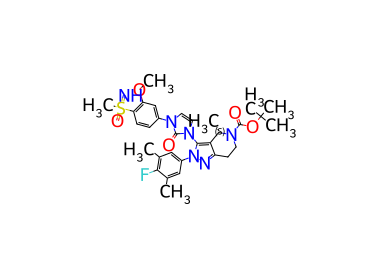 COc1cc(-n2ccn(-c3c4c(nn3-c3cc(C)c(F)c(C)c3)CCN(C(=O)OC(C)(C)C)[C@H]4C)c2=O)ccc1S(C)(=N)=O